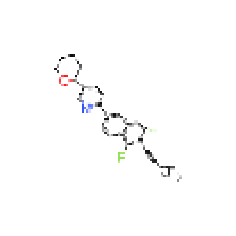 Fc1cc2cc(-c3ccc(C4CCCCO4)cn3)ccc2c(F)c1C#CC(F)(F)F